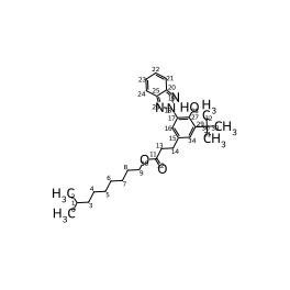 CC(C)CCCCCCCOC(=O)CCc1cc(-n2nc3ccccc3n2)c(O)c(C(C)(C)C)c1